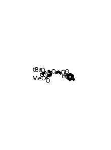 COC(=O)[C@@H]1CC(OCCCOS(=O)(=O)c2ccc(C)cc2)CN1C(=O)OC(C)(C)C